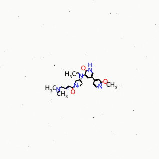 CCN(c1cc(-c2ccnc(OC)c2)c[nH]c1=O)[C@@H]1CCN(C(=O)/C=C/CN(C)C)C1